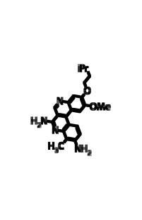 COc1cc2c(cc1OCCC(C)C)ncc1c(N)nc3c(C)c(N)ccc3c12